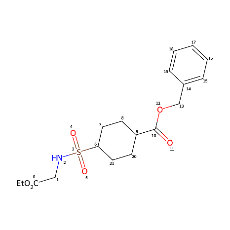 CCOC(=O)CNS(=O)(=O)C1CCC(C(=O)OCc2ccccc2)CC1